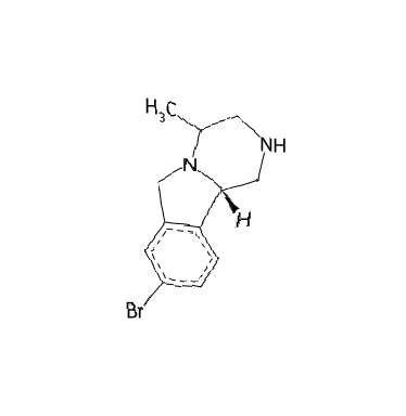 CC1CNC[C@@H]2c3ccc(Br)cc3CN12